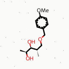 COc1ccc(COC[C@H](C)[C@H](O)[C@H](C)O)cc1